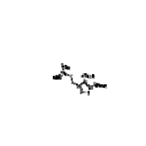 CCCCN(CCCC)CCC1=CCC(C(C)CCC)=C1C(C)CCC